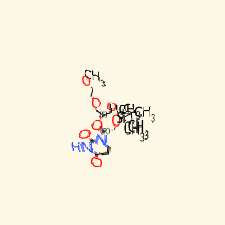 COCCOC[C@@H](C=O)O[C@H](CO[Si](C)(C)C(C)(C)C)n1ccc(=O)[nH]c1=O